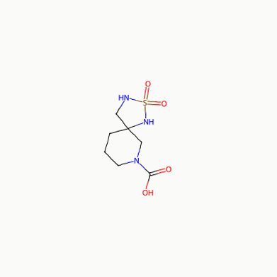 O=C(O)N1CCCC2(CNS(=O)(=O)N2)C1